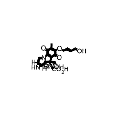 COC12[C@@H]3N[C@@H]3CN1C1=C(C(=O)C(OCC=CCO)=C(C)C1=O)C2(CO)NC(=O)O